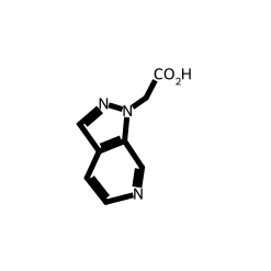 O=C(O)Cn1ncc2ccncc21